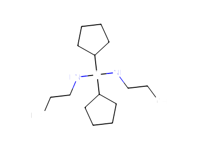 CCCN[Si](NCCC)(C1CCCC1)C1CCCC1